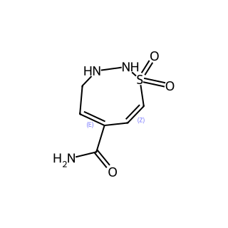 NC(=O)C1=C/CNNS(=O)(=O)/C=C\1